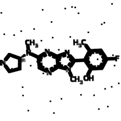 Cc1cc(F)cc(O)c1-c1nc2nc(N(C)[C@@H]3CCNC3)cnc2n1C